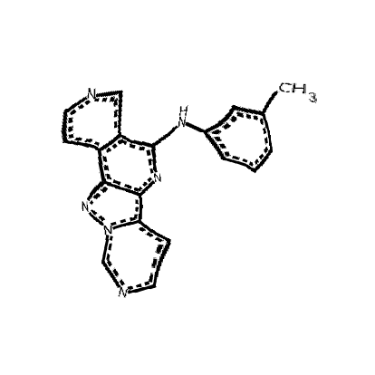 Cc1cccc(Nc2nc3c(nn4cnccc34)c3ccncc23)c1